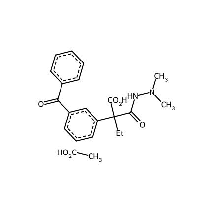 CC(=O)O.CCC(C(=O)O)(C(=O)NN(C)C)c1cccc(C(=O)c2ccccc2)c1